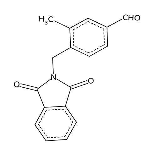 Cc1cc(C=O)ccc1CN1C(=O)c2ccccc2C1=O